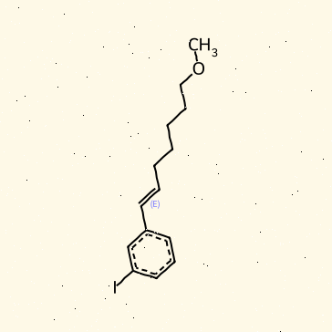 COCCCCC/C=C/c1cccc(I)c1